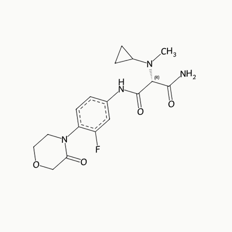 CN(C1CC1)[C@H](C(N)=O)C(=O)Nc1ccc(N2CCOCC2=O)c(F)c1